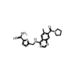 Cc1cc2c(NCc3ccc(C(=N)N)s3)ncnc2cc1C(=O)N1CCCC1